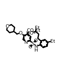 CCOC(=O)c1cc(S(=O)(=O)Nc2ccc(CC)cc2CCC(O)CC)ncc1OCC1CCOCC1